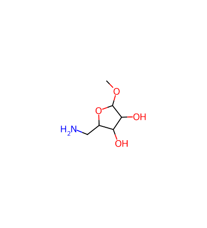 COC1OC(CN)C(O)C1O